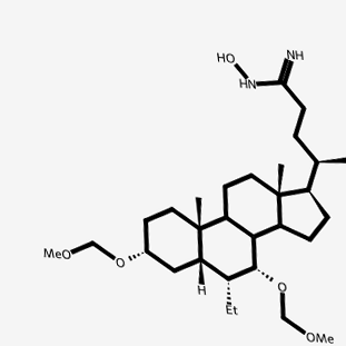 CC[C@H]1[C@@H](OCOC)C2C3CC[C@H]([C@H](C)CCC(=N)NO)[C@@]3(C)CCC2[C@@]2(C)CC[C@@H](OCOC)C[C@@H]12